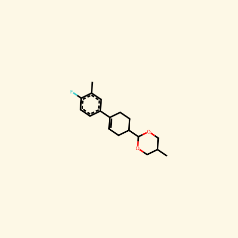 Cc1cc(C2=CCC(C3OCC(C)CO3)CC2)ccc1F